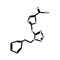 O=C(O)c1cnc(Sc2nnnn2CCc2ccccc2)s1